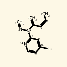 C=NN(C(=C)/C=C\C)c1cc(I)ccn1